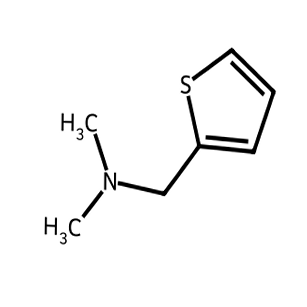 CN(C)Cc1cccs1